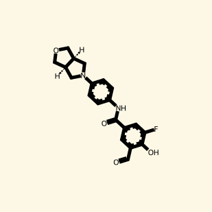 O=Cc1cc(C(=O)Nc2ccc(N3C[C@H]4COC[C@H]4C3)cc2)cc(F)c1O